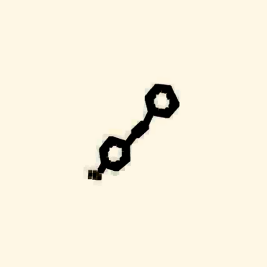 Sc1ccc(C#Cc2ccccc2)cc1